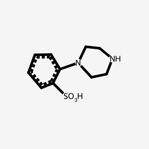 O=S(=O)(O)c1ccccc1N1CCNCC1